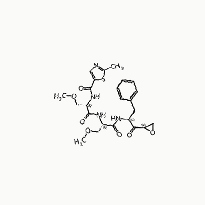 COC[C@H](NC(=O)c1cnc(C)s1)C(=O)N[C@@H](COC)C(=O)N[C@@H](Cc1ccccc1)C(=O)[C@H]1CO1